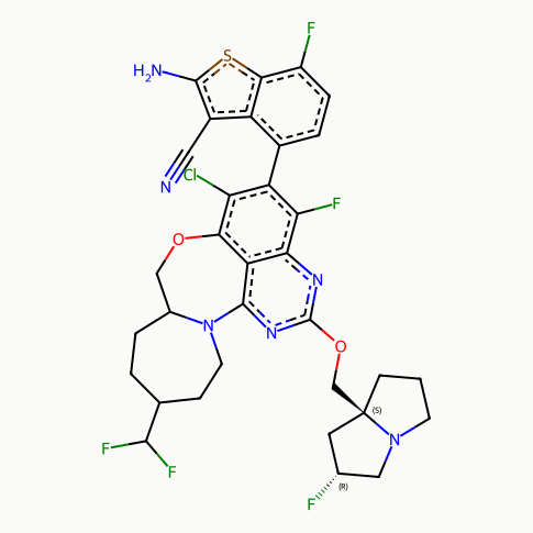 N#Cc1c(N)sc2c(F)ccc(-c3c(Cl)c4c5c(nc(OC[C@@]67CCCN6C[C@H](F)C7)nc5c3F)N3CCC(C(F)F)CCC3CO4)c12